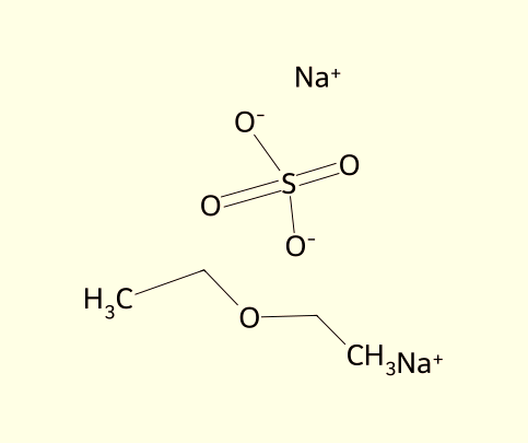 CCOCC.O=S(=O)([O-])[O-].[Na+].[Na+]